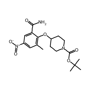 Cc1cc([N+](=O)[O-])cc(C(N)=O)c1OC1CCN(C(=O)OC(C)(C)C)CC1